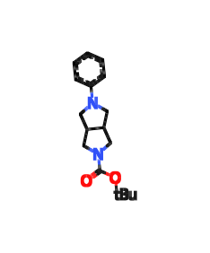 CC(C)(C)OC(=O)N1CC2CN(c3ccccc3)CC2C1